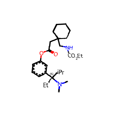 CCOC(=O)NCC1(CC(=O)Oc2cccc([C@](CC)(C(C)C)N(C)C)c2)CCCCC1